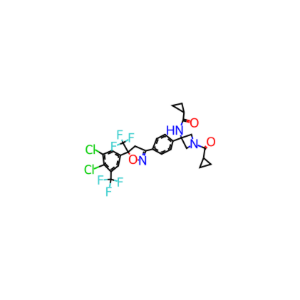 O=C(NC1(c2ccc(C3=NOC(c4cc(Cl)c(Cl)c(C(F)(F)F)c4)(C(F)(F)F)C3)cc2)CN(C(=O)C2CC2)C1)C1CC1